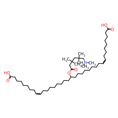 CN(C)CC(C)(C)CC(C)(C)CC(=O)OC(CCCCCCCC/C=C\CCCCCCCC(=O)O)CCCCCCCC/C=C\CCCCCCCC(=O)O